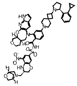 O=C(NS(=O)(=O)c1cc2c(c([N+](=O)[O-])c1)N[C@H](CN1C[C@@H]3C[C@H]1CO3)CO2)c1ccc(N2CCC3(CC2)CC(N2CCC[C@H]2c2ccccc2C2CC2)C3)cc1N1C[C@@H]2CCOC[C@@H]2Oc2nc3[nH]ccc3cc21